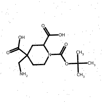 CC(C)(C)OC(=O)N1CCC(CN)(C(=O)O)CC1C(=O)O